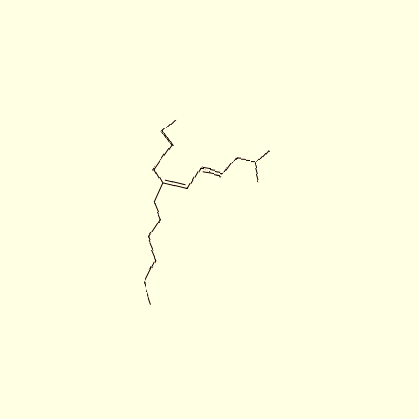 CCCCCCC(=CC=CCC(C)C)CCCC